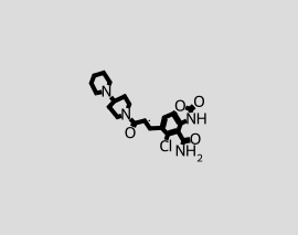 NC(=O)c1c(Cl)c(C[CH]C(=O)N2CCC(N3CCCCC3)CC2)cc2oc(=O)[nH]c12